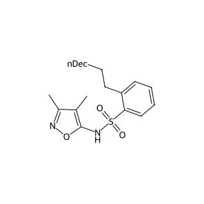 CCCCCCCCCCCCc1ccccc1S(=O)(=O)Nc1onc(C)c1C